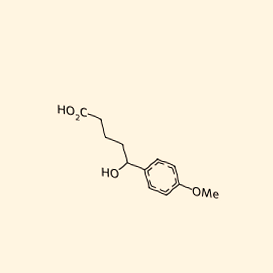 COc1ccc(C(O)CCCC(=O)O)cc1